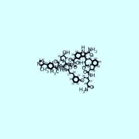 Cc1ncsc1-c1ccc([C@H](C)NC(=O)[C@@H]2C[C@@H](O)CN2C(=O)[C@@H](NC(=O)CCc2cccc(OC[C@H](CCC(N)=O)NC(=O)[C@@H]3Cc4cccc5c4N3C(=O)CC(c3c(C(N)=O)[nH]c4ccc(C(=O)P(=O)(O)O)cc34)C5)c2)C(C)(C)C)cc1